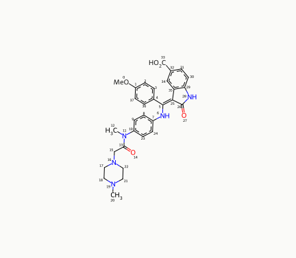 COc1ccc(/C(Nc2ccc(N(C)C(=O)CN3CCN(C)CC3)cc2)=C2/C(=O)Nc3ccc(C(=O)O)cc32)cc1